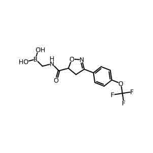 O=C(NCB(O)O)C1CC(c2ccc(OC(F)(F)F)cc2)=NO1